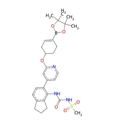 CC1(C)OB(C2=CCC(Oc3cc(-c4ccc5c(c4NC(=O)NS(C)(=O)=O)CCC5)ccn3)CC2)OC1(C)C